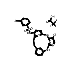 O=C(O)C(F)(F)F.O=S(=O)(Nc1ccc2cc1CCc1cccc(c1)Nc1ncc(Cl)c(n1)N2)c1cccc(Cl)c1